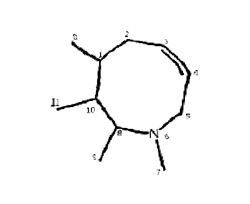 CC1C/C=C\CN(C)C(C)C1C